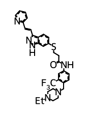 CCN1CCN(Cc2ccc(NC(=O)CCSc3ccc4c(C=Cc5ccccn5)n[nH]c4c3)cc2C(F)(F)F)CC1